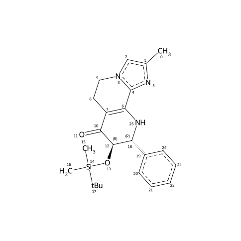 Cc1cn2c(n1)C1=C(CC2)C(=O)[C@H](O[Si](C)(C)C(C)(C)C)[C@@H](c2ccccc2)N1